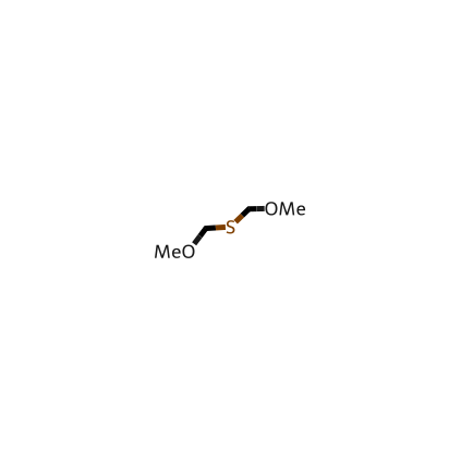 COCSCOC